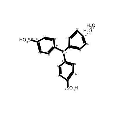 O.O.O=S(=O)(O)c1ccc(P(c2ccccc2)c2ccc(S(=O)(=O)O)cc2)cc1